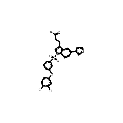 O=C(O)CCc1cn(S(=O)(=O)c2cccc(Oc3ccc(Cl)c(Cl)c3)c2)c2ccc(-c3ccsc3)cc12